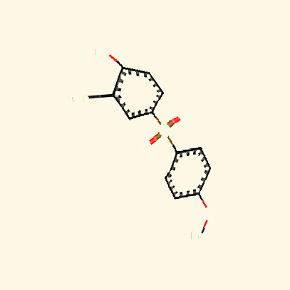 CCCCOc1ccc(S(=O)(=O)c2ccc(O)c(CCC)c2)cc1